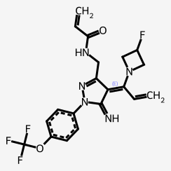 C=CC(=O)NCC1=NN(c2ccc(OC(F)(F)F)cc2)C(=N)/C1=C(\C=C)N1CC(F)C1